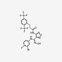 O=C(CCc1cc(C(F)(F)F)ccc1C(F)(F)F)Nc1nonc1/C(=N\O)Nc1ccc(F)c(Br)c1